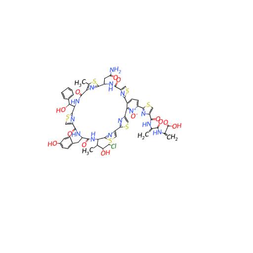 C=C(NC(=O)C(=C)NC(=O)c1csc(-c2ccc3c([n+]2[O-])-c2csc(n2)-c2csc(n2)C(C(C)C(O)CCl)NC(=O)C(Cc2ccc(O)cc2)NC(=O)c2csc(n2)C(C(O)c2ccccc2)NC(=O)c2nc(sc2C)C(CC(N)=O)NC(=O)c2csc-3n2)n1)C(=O)O